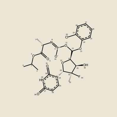 CC(C)OC(=O)[C@H](C)/N=[P+](\[O-])OC(Oc1ccccc1Cl)[C@@H]1O[C@@H](n2ccc(=O)[nH]c2=O)[C@](C)(F)[C@@H]1O